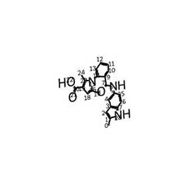 Cc1cc2cc(NC(=O)c3ccccc3-n3c(C)cc(C(=O)O)c3C)ccc2[nH]1